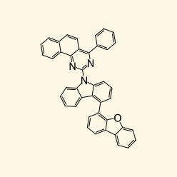 c1ccc(-c2nc(-n3c4ccccc4c4c(-c5cccc6c5oc5ccccc56)cccc43)nc3c2ccc2ccccc23)cc1